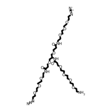 [N-]=[N+]=NCCOCCOCCOCCNC(=O)CCOCC(COCCC(=O)NCCOCCOCCOCCN=[N+]=[N-])NC(=O)CCOCCOCCOCCOCCN